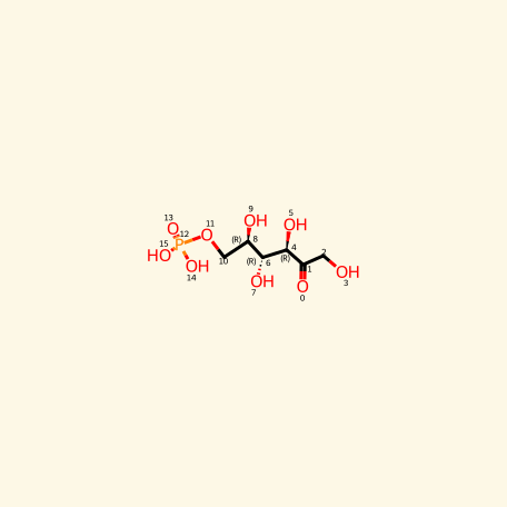 O=C(CO)[C@H](O)[C@H](O)[C@H](O)COP(=O)(O)O